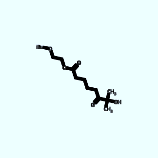 CCC(C)OCCOC(=O)CCCCC(=O)C(C)(C)O